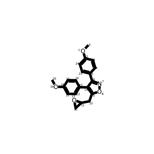 COc1ccc(-c2noc(CC3CO3)c2-c2ccc(OC)cc2)cc1